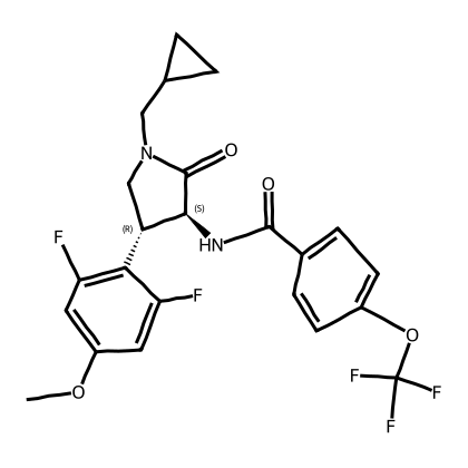 COc1cc(F)c([C@@H]2CN(CC3CC3)C(=O)[C@H]2NC(=O)c2ccc(OC(F)(F)F)cc2)c(F)c1